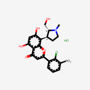 CN1CC[C@@H](c2c(O)cc(O)c3c(=O)cc(-c4cccc([N+](=O)[O-])c4Cl)oc23)[C@@H]1CO.Cl